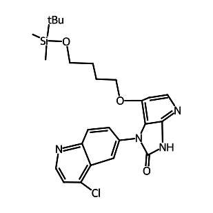 CC(C)(C)[Si](C)(C)OCCCCOc1ccnc2[nH]c(=O)n(-c3ccc4nccc(Cl)c4c3)c12